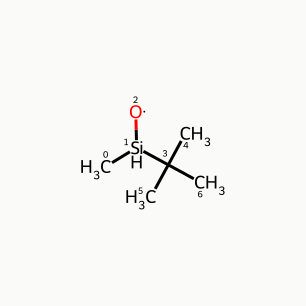 C[SiH]([O])C(C)(C)C